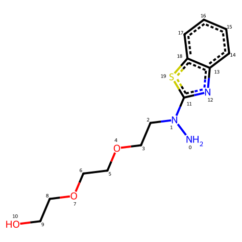 NN(CCOCCOCCO)c1nc2ccccc2s1